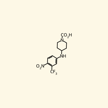 O=C(O)N1CCC(Nc2ccc([N+](=O)[O-])c(C(F)(F)F)c2)CC1